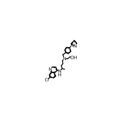 CC(CCCN(CCO)Cc1ccc(-n2cccn2)cc1)Nc1ccnc2cc(Cl)ccc12